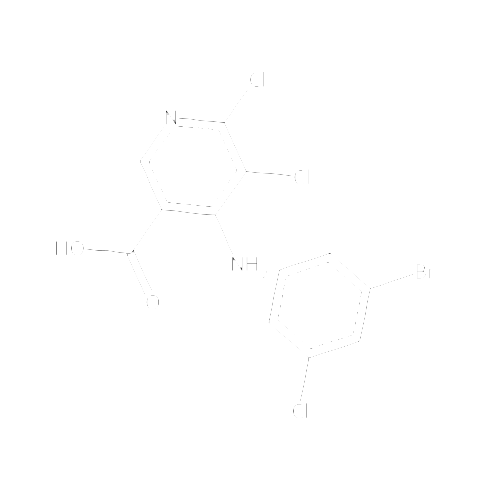 Clc1cccc(Br)c1.Nc1c(C(=O)O)cnc(Cl)c1Cl